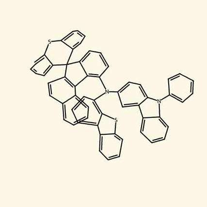 c1ccc(-n2c3ccccc3c3cc(N(c4cccc5c4-c4c(ccc6ccccc46)C54c5ccccc5Sc5ccccc54)c4cccc5c4sc4ccccc45)ccc32)cc1